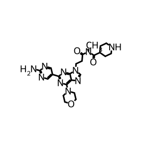 CN(C(=O)CCn1cnc2c(N3CCOCC3)nc(-c3cnc(N)nc3)nc21)C(=O)C1CCNCC1